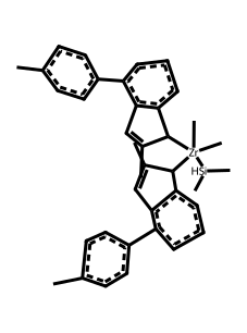 CC1=Cc2c(-c3ccc(C)cc3)cccc2[CH]1[Zr]([CH3])([CH3])([CH]1C(C)=Cc2c(-c3ccc(C)cc3)cccc21)[SiH](C)C